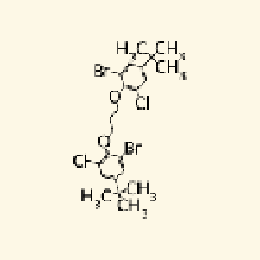 CC(C)(C)c1cc(Cl)c(OCCCOc2c(Cl)cc(C(C)(C)C)cc2Br)c(Br)c1